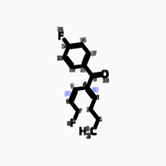 CCC/C=C(\C=C/CF)C(=O)c1ccc(F)cc1